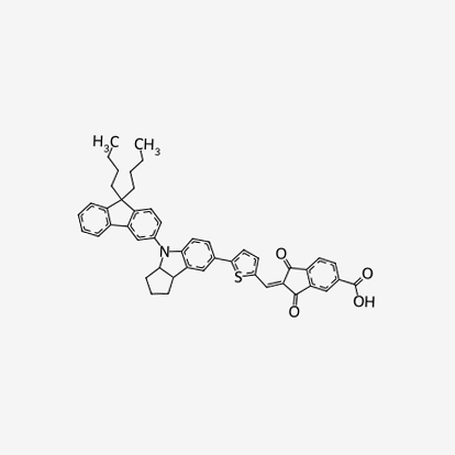 CCCCC1(CCCC)c2ccccc2-c2cc(N3c4ccc(-c5ccc(/C=C6\C(=O)c7ccc(C(=O)O)cc7C6=O)s5)cc4C4CCCC43)ccc21